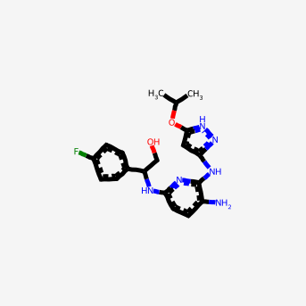 CC(C)Oc1cc(Nc2nc(NC(CO)c3ccc(F)cc3)ccc2N)n[nH]1